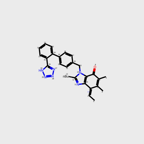 C/C=C1\C(C)=C(C)C(=O)c2c1nc(CCCC)n2Cc1ccc(-c2ccccc2-c2nnn[nH]2)cc1